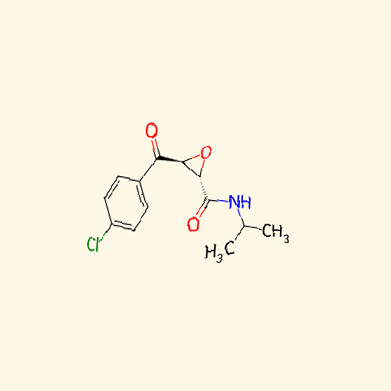 CC(C)NC(=O)[C@H]1O[C@@H]1C(=O)c1ccc(Cl)cc1